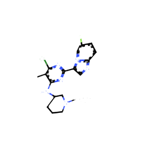 Cc1c(Cl)nc(-c2cnc3ccc(F)cn23)nc1NC1CCCN(C(=O)O)C1